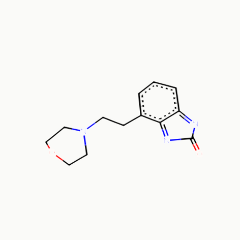 O=C1N=c2cccc(CCN3CCOCC3)c2=N1